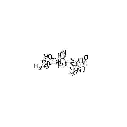 CC(C)(C)OC(=O)N1CCc2ccc(Cl)cc2C1c1cc(C(=O)c2cncnc2N[C@@H]2C[C@H](COS(N)(=O)=O)[C@@H](O)C2)sc1Cl